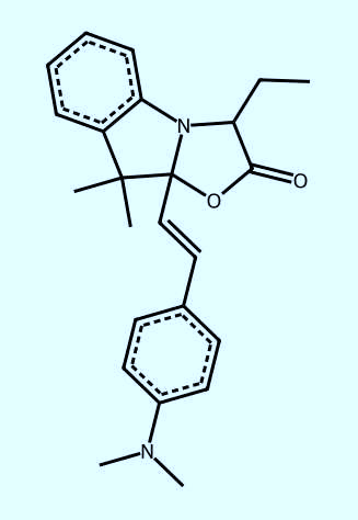 CCC1C(=O)OC2(C=Cc3ccc(N(C)C)cc3)N1c1ccccc1C2(C)C